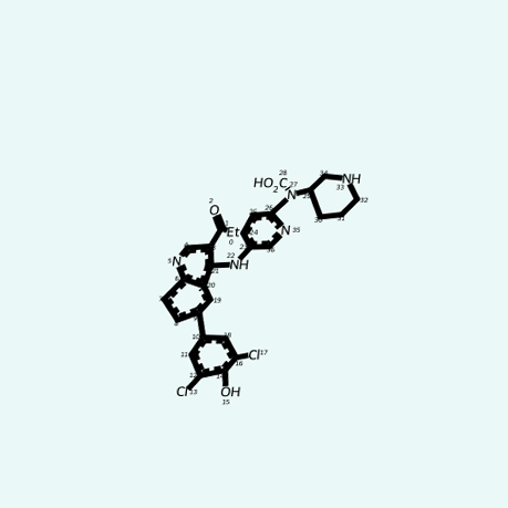 CCC(=O)c1cnc2ccc(-c3cc(Cl)c(O)c(Cl)c3)cc2c1Nc1ccc(N(C(=O)O)C2CCCNC2)nc1